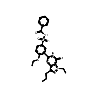 CCCc1nn(CC)c2c(=O)[nH]c(-c3cc(S(=O)(=O)NC(=O)c4ccccc4)ccc3OCC)nc12